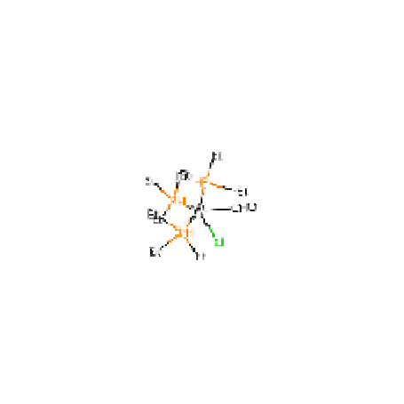 CC[PH](CC)(CC)[W]([Cl])([CH]=O)([PH](CC)(CC)CC)[PH](CC)(CC)CC